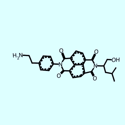 CC(C)CC(CO)N1C(=O)c2ccc3c4c(ccc(c24)C1=O)C(=O)N(c1ccc(CCN)cc1)C3=O